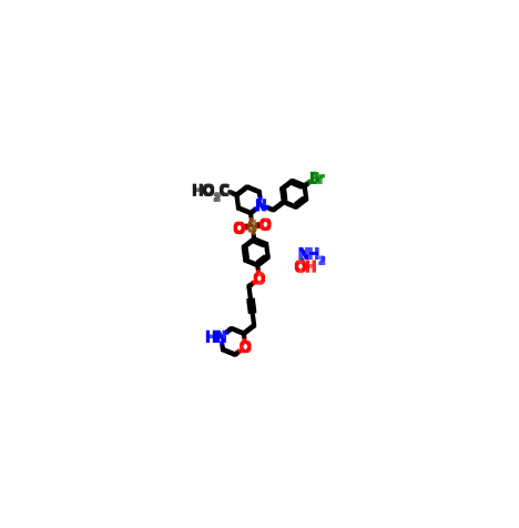 NO.O=C(O)C1CCN(Cc2ccc(Br)cc2)C(S(=O)(=O)c2ccc(OCC#CCC3CNCCO3)cc2)C1